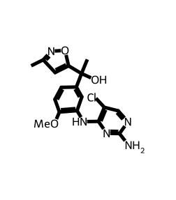 COc1ccc(C(C)(O)c2cc(C)no2)cc1Nc1nc(N)ncc1Cl